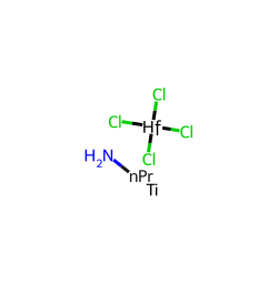 CCCN.[Cl][Hf]([Cl])([Cl])[Cl].[Ti]